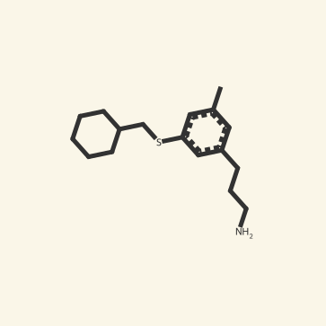 Cc1cc(CCCN)cc(SCC2CCCCC2)c1